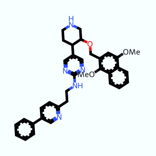 COc1cc(COC2CNCCC2c2cnc(NCCc3ccc(-c4ccccc4)cn3)nc2)c(OC)c2ccccc12